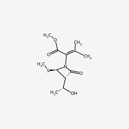 COC(=O)C(=C(C)C)N1C(=O)[C@H]([C@@H](C)O)[C@H]1SC